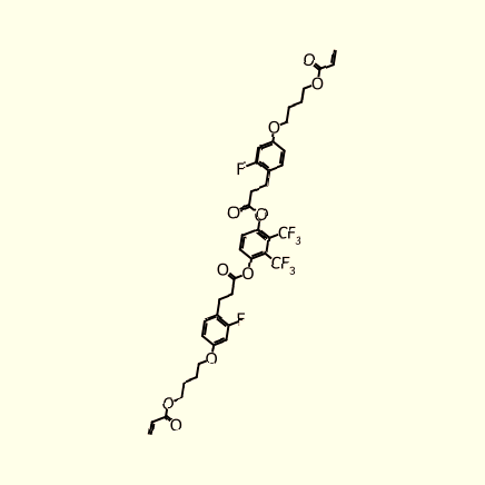 C=CC(=O)OCCCCOc1ccc(CCC(=O)Oc2ccc(OC(=O)CCc3ccc(OCCCCOC(=O)C=C)cc3F)c(C(F)(F)F)c2C(F)(F)F)c(F)c1